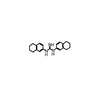 N=C(Nc1ccc2c(c1)CCCC2)Nc1ccc2c(c1)CCCC2